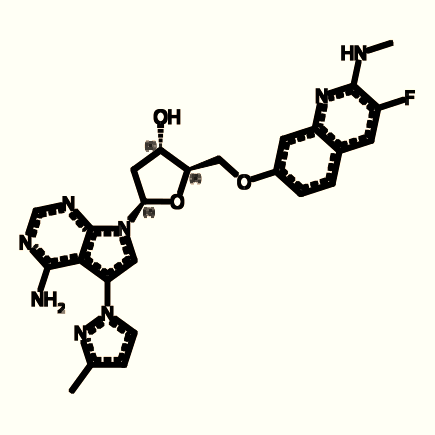 CNc1nc2cc(OC[C@H]3O[C@@H](n4cc(-n5ccc(C)n5)c5c(N)ncnc54)C[C@@H]3O)ccc2cc1F